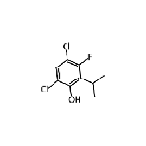 CC(C)c1c(O)c(Cl)cc(Cl)c1F